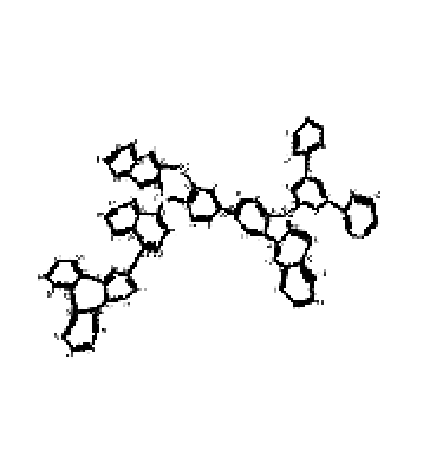 c1ccc(-c2cc(-c3ccccc3)cc(-n3c4ccc(-c5ccc6c(c5)Sc5cc7ccccc7cc5N6c5ccc(-c6ccc7c8ccccc8c8ccccc8c7c6)c6ccccc56)cc4c4cc5ccccc5cc43)c2)cc1